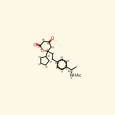 CC(=O)N[C@H](C)c1ccc(CCC2(C3CCCC3)CC(=O)CC(=O)O2)cc1